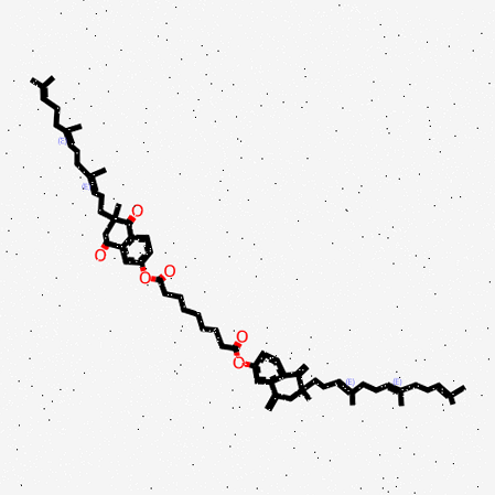 C=C1CC(C)(CC/C=C(\C)CC/C=C(\C)CCC=C(C)C)C(=C)c2ccc(OC(=O)CCCCCCCC(=O)Oc3ccc4c(c3)C(=O)CC(C)(CC/C=C(\C)CC/C=C(\C)CCC=C(C)C)C4=O)cc21